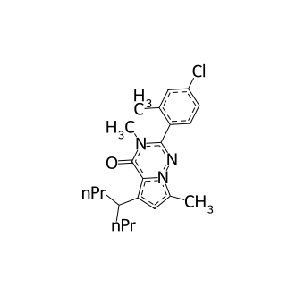 CCCC(CCC)c1cc(C)n2nc(-c3ccc(Cl)cc3C)n(C)c(=O)c12